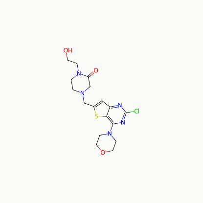 O=C1CN(Cc2cc3nc(Cl)nc(N4CCOCC4)c3s2)CCN1CCO